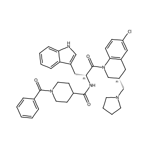 O=C(N[C@H](Cc1c[nH]c2ccccc12)C(=O)N1C[C@@H](CN2CCCC2)Cc2cc(Cl)ccc21)C1CCN(C(=O)c2ccccc2)CC1